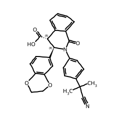 CC(C)(C#N)c1ccc(N2C(=O)c3ccccc3[C@@H](C(=O)O)[C@@H]2c2ccc3c(c2)OCCO3)cc1